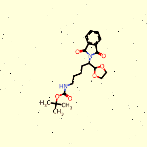 CC(C)(C)OC(=O)NCCCCC(C1OCCO1)N1C(=O)c2ccccc2C1=O